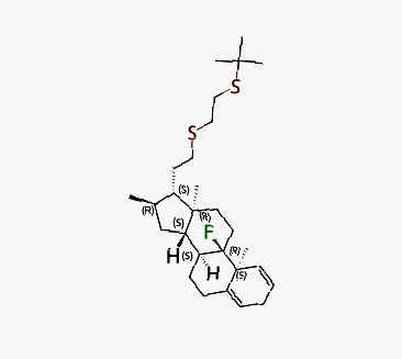 C[C@@H]1C[C@H]2[C@@H]3CCC4=CCC=C[C@]4(C)[C@@]3(F)CC[C@]2(C)[C@H]1CCSCCSC(C)(C)C